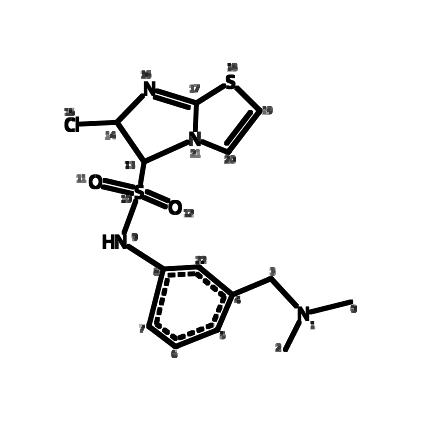 CN(C)Cc1cccc(NS(=O)(=O)C2C(Cl)N=C3SC=CN32)c1